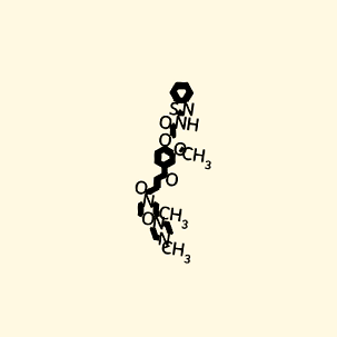 COc1cc(C(=O)C=CC(=O)N2CCOC(C)(N3CCN(C)CC3)C2)ccc1OCC(=O)Nc1nc2ccccc2s1